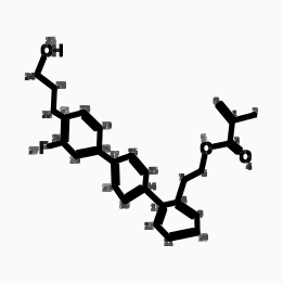 C=C(C)C(=O)OCCc1ccccc1-c1ccc(-c2ccc(CCCO)c(F)c2)cc1